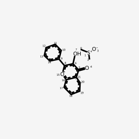 C[S+](C)[O-].O=c1c(O)c(-c2ccccc2)oc2ccccc12